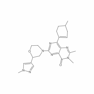 Cc1nc2c(C3=CCC(C)CC3)nc(N3CCOC(c4cnn(C)c4)C3)nc2c(=O)n1C